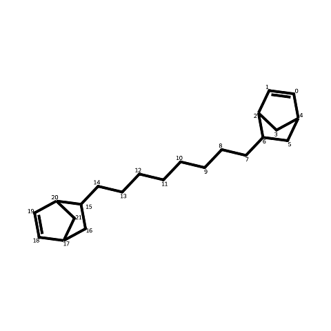 C1=CC2CC1CC2CCCCCCCCC1CC2C=CC1C2